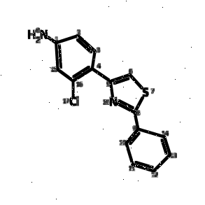 Nc1ccc(-c2csc(-c3ccccc3)n2)c(Cl)c1